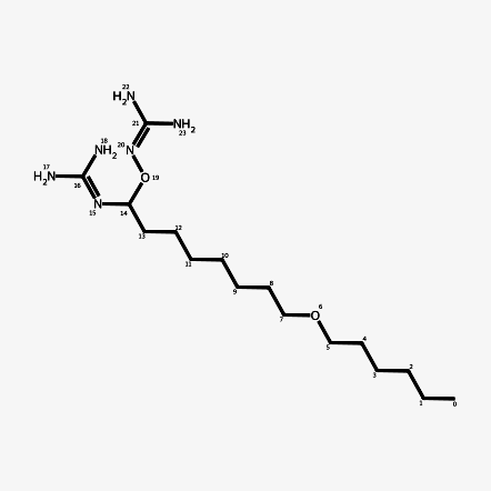 CCCCCCOCCCCCCCC(N=C(N)N)ON=C(N)N